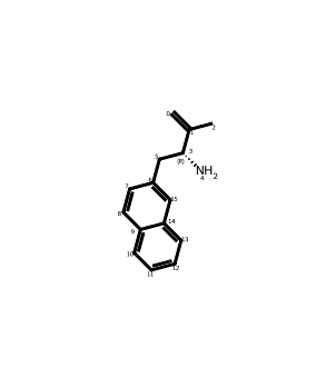 C=C(C)[C@H](N)Cc1ccc2ccccc2c1